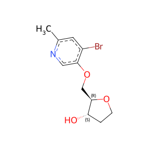 Cc1cc(Br)c(OC[C@H]2OCC[C@@H]2O)cn1